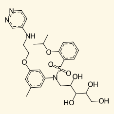 Cc1cc(OCCNc2ccnnc2)cc(N(CC(O)C(O)C(O)CO)S(=O)(=O)c2ccccc2OC(C)C)c1